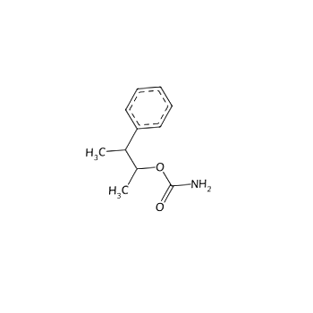 CC(OC(N)=O)C(C)c1ccccc1